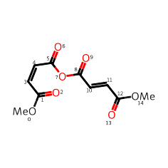 COC(=O)/C=C\C(=O)OC(=O)/C=C/C(=O)OC